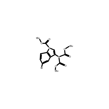 CC(C)(C)OC(=O)N(C(=O)OC(C)(C)C)c1cn(C(=O)OC(C)(C)C)c2ccc(Br)cc12